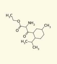 CCOC(=O)C(N)C(=O)C1CC(C)CCC1C(C)C